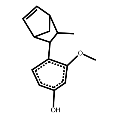 COc1cc(O)ccc1C1C2C=CC(C2)C1C